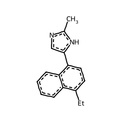 CCc1ccc(-c2cnc(C)[nH]2)c2ccccc12